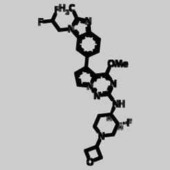 COc1nc(N[C@@H]2CCN(C3COC3)C[C@H]2F)nn2ccc(-c3ccc4nc(C)n(CC(F)F)c4c3)c12